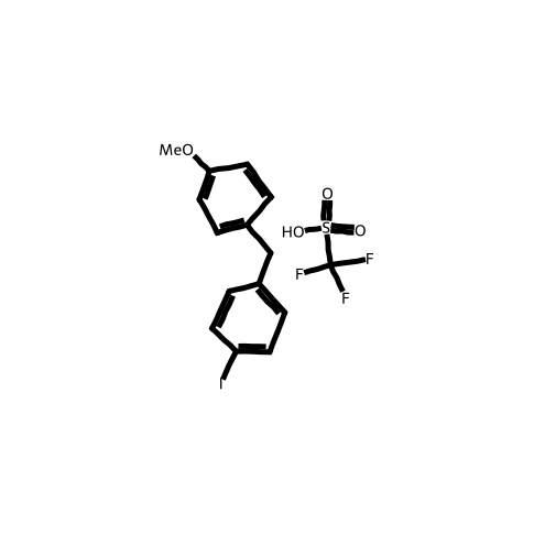 COc1ccc(Cc2ccc(I)cc2)cc1.O=S(=O)(O)C(F)(F)F